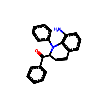 Nc1cccc2c1N(c1ccccc1)C(C(=O)c1ccccc1)C=C2